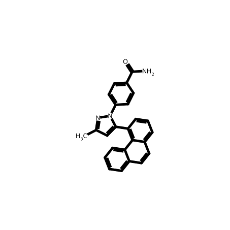 Cc1cc(-c2cccc3ccc4ccccc4c23)n(-c2ccc(C(N)=O)cc2)n1